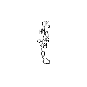 O=C(CNC(=O)c1cc(COCc2ccccc2)on1)NCC(F)(F)F